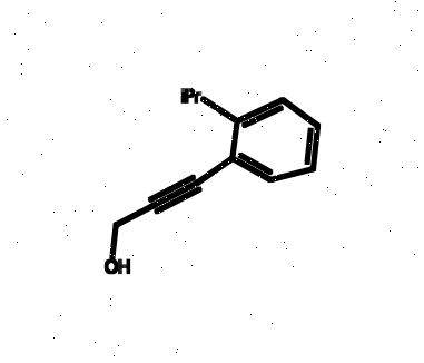 CC(C)c1ccccc1C#CCO